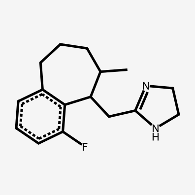 CC1CCCc2cccc(F)c2C1CC1=NCCN1